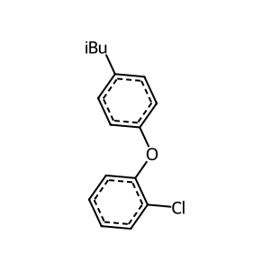 CCC(C)c1ccc(Oc2ccccc2Cl)cc1